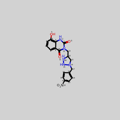 O=c1[nH]c2c(O)cccc2c(=O)n1CC1CN(Cc2ccc([N+](=O)[O-])cc2)NN1